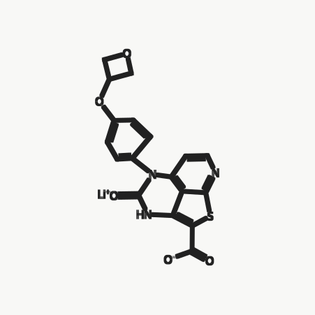 O=C([O-])c1sc2nccc3c2c1NC(=O)N3c1ccc(OC2COC2)cc1.[Li+]